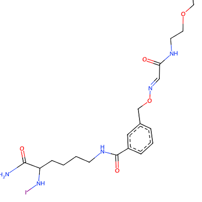 CCOCCNC(=O)/C=N/OCc1cccc(C(=O)NCCCCC(NI)C(N)=O)c1